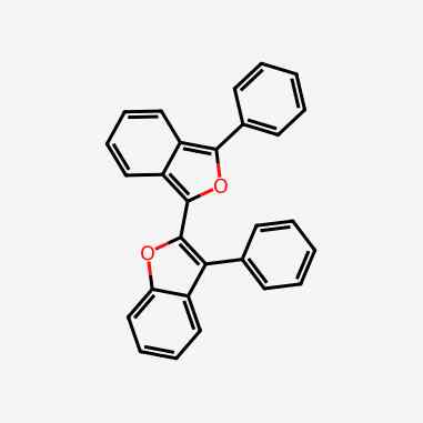 c1ccc(-c2c(-c3oc(-c4ccccc4)c4ccccc34)oc3ccccc23)cc1